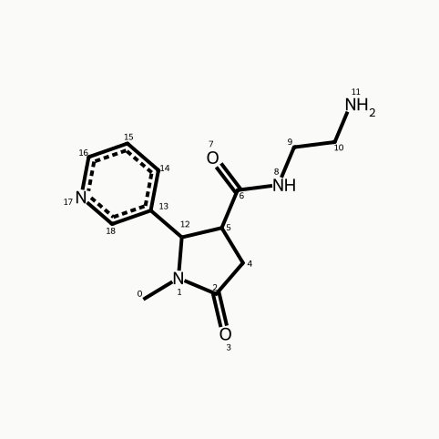 CN1C(=O)CC(C(=O)NCCN)C1c1cccnc1